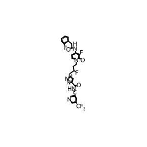 O=C(Cc1ccccc1F)Nc1ccn(CCC(F)Cn2cc(C(=O)NCc3cncc(C(F)(F)F)c3)nn2)c(=O)c1F